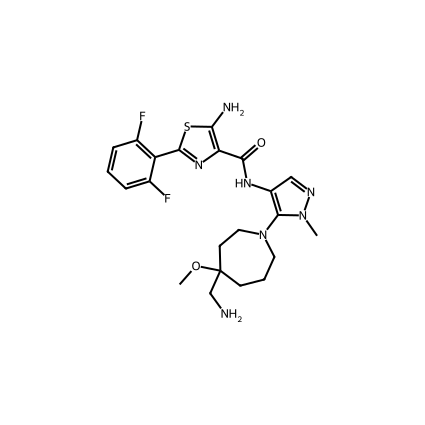 COC1(CN)CCCN(c2c(NC(=O)c3nc(-c4c(F)cccc4F)sc3N)cnn2C)CC1